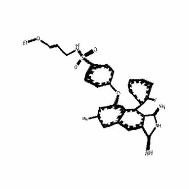 CCOCCCNS(=O)(=O)c1ccc(Oc2cc(C(C)(C)C)cc3cc4c(c(-c5ccccc5F)c23)C(=N)NC4=N)cc1